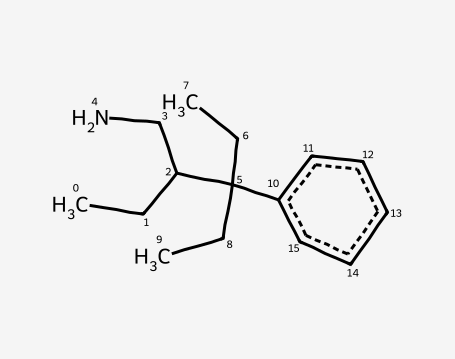 CCC(CN)C(CC)(CC)c1ccccc1